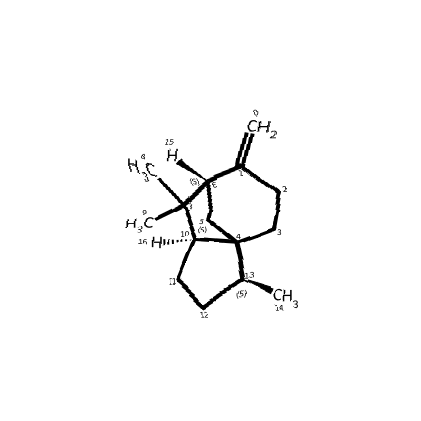 C=C1CCC23C[C@@H]1C(C)(C)[C@@H]2CC[C@@H]3C